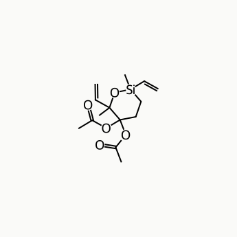 C=CC1(C)O[Si](C)(C=C)CCC1(OC(C)=O)OC(C)=O